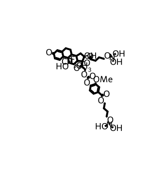 COc1cc(C(=O)OCCCCON(O)O)ccc1OC(=O)OCC(=O)[C@@]1(OC(=O)CCCON(O)O)[C@H](O)CC2C3CCC4=CC(=O)C=C[C@]4(C)[C@@]3(F)[C@@H](O)C[C@@]21C